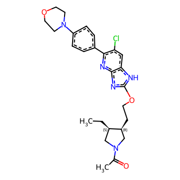 CC[C@@H]1CN(C(C)=O)C[C@@H]1CCOc1nc2nc(-c3ccc(N4CCOCC4)cc3)c(Cl)cc2[nH]1